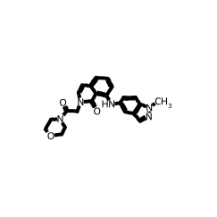 Cn1ncc2cc(Nc3cccc4ccn(CC(=O)N5CCOCC5)c(=O)c34)ccc21